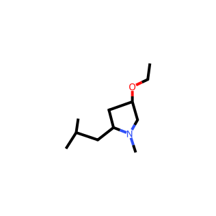 CCOC1CC(CC(C)C)N(C)C1